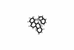 c1ccc2[nH]ccc2c1.c1ccc2c(c1)ccc1c3ccccc3ccc21